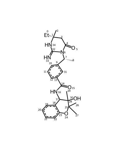 CC[C@]1(C)CC(=O)N([C@H](C)c2cccc(C(=O)NC3c4ccccc4OC(C)(C)C3(C)O)c2)C(=N)N1